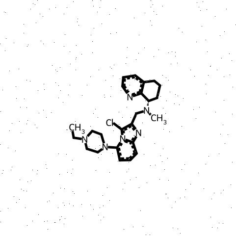 CCN1CCN(c2cccc3nc(CN(C)[C@H]4CCCc5cccnc54)c(Cl)n23)CC1